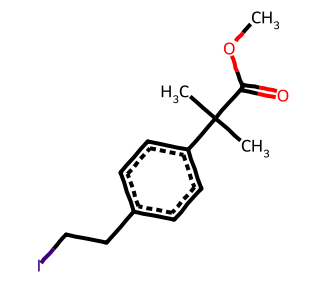 COC(=O)C(C)(C)c1ccc(CCI)cc1